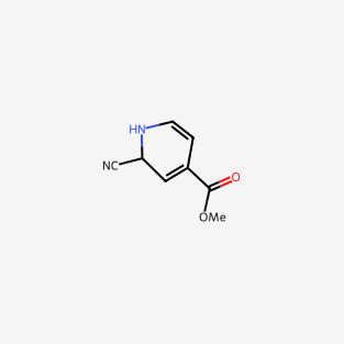 COC(=O)C1=CC(C#N)NC=C1